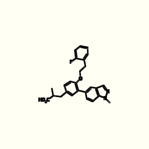 CC(Cc1ccc(OCCc2ccccc2F)c(-c2ccc3c(cnn3C)c2)c1)C(=O)O